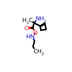 CCCNOC(=O)C(C)(N)C1=CCC1